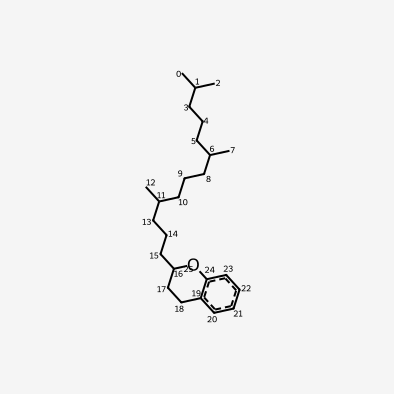 CC(C)CCCC(C)CCCC(C)CCCC1CCc2ccccc2O1